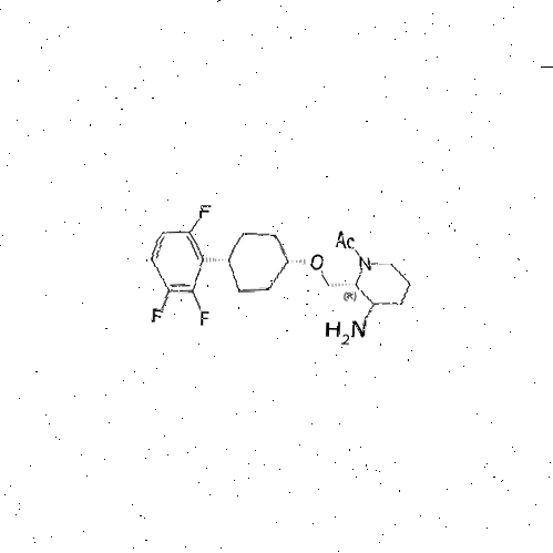 CC(=O)N1CCCC(N)[C@@H]1CO[C@H]1CC[C@@H](c2c(F)ccc(F)c2F)CC1